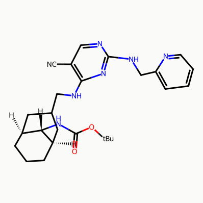 CC(C)(C)OC(=O)N[C@@H]1[C@@H]2CCC[C@H]1CC(CNc1nc(NCc3ccccn3)ncc1C#N)C2